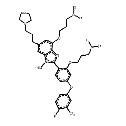 CCCCn1c(-c2ccc(Oc3ccc(F)c(C(F)(F)F)c3)cc2OCCCN(CC)CC)nc2c(OCCCN(CC)CC)cc(CCCN3CCCC3)cc21